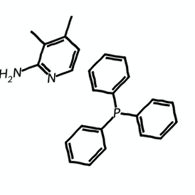 Cc1ccnc(N)c1C.c1ccc(P(c2ccccc2)c2ccccc2)cc1